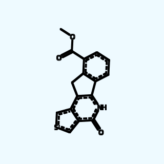 COC(=O)c1cccc2c1Cc1c-2[nH]c(=O)c2cscc12